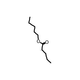 CCC[CH]C(=O)OCCCCC